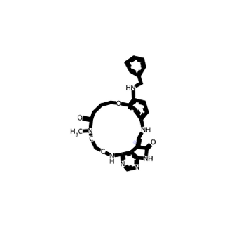 CN1CCCNc2ncnc3c2/C(=C/Nc2ccc(NCc4ccccc4)c(c2)OCCCC1=O)C(=O)N3